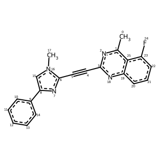 Cc1nc(C#Cc2nc(-c3ccccc3)cn2C)nc2cccc(F)c12